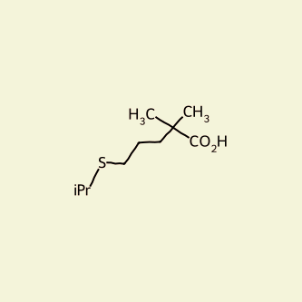 CC(C)SCCCC(C)(C)C(=O)O